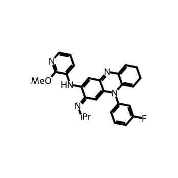 COc1ncccc1Nc1cc2nc3c(n(-c4cccc(F)c4)c-2c/c1=N\C(C)C)=CCCC=3